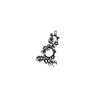 CO[C@@H](C)C1=C(c2c3c4cc(ccc4n2CC(F)(F)F)-c2csc(n2)C[C@H](NC(=O)[C@H](C2CCCC2)N2CCOC4(CN(C(=O)[C@@H]5N[C@@H]5C5CC5)C4)C2)C(=O)N2CCC[C@H](N2)C(=O)OCC(C)(C)C3)CC(N2CCN3CCOC[C@@H]3C2)C=N1